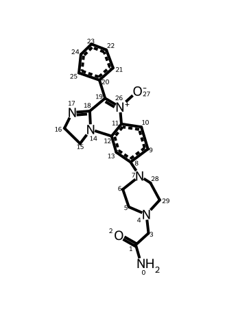 NC(=O)CN1CCN(c2ccc3c(c2)N2CCN=C2C(c2ccccc2)=[N+]3[O-])CC1